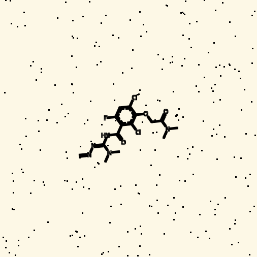 C=N/N=C(/NC(=O)c1c(F)cc(Cl)c(OCC(=O)N(C)C)c1Cl)N(C)C